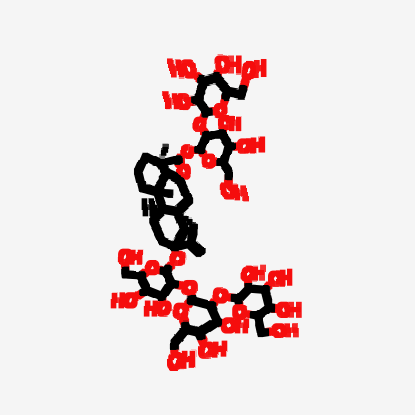 C=C1C[C@@]23CCC4[C@](C)(C(=O)OC5OC(CO)C(O)C(O)C5OC5OC(CO)C(O)C(O)C5O)CCC[C@@]4(C)[C@@H]2CCC1(OC1OC(CO)C(O)C(O)C1OC1OC(CO)C(O)C(O)C1OC1OC(CO)C(O)C(O)C1O)C3